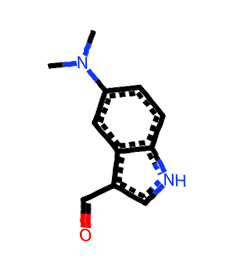 CN(C)c1ccc2[nH]cc(C=O)c2c1